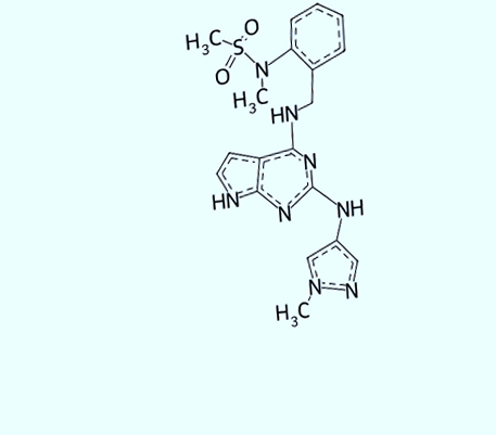 CN(c1ccccc1CNc1nc(Nc2cnn(C)c2)nc2[nH]ccc12)S(C)(=O)=O